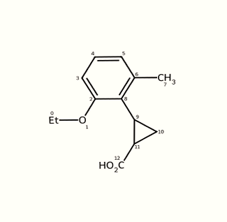 CCOc1cccc(C)c1C1CC1C(=O)O